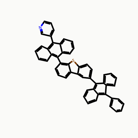 c1ccc(-c2c3ccccc3c(-c3ccc4sc5c(-c6c7ccccc7c(-c7cccnc7)c7ccccc67)cccc5c4c3)c3ccccc23)cc1